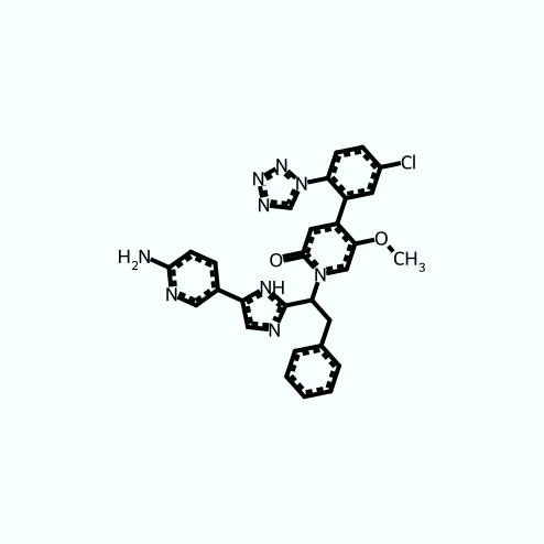 COc1cn(C(Cc2ccccc2)c2ncc(-c3ccc(N)nc3)[nH]2)c(=O)cc1-c1cc(Cl)ccc1-n1cnnn1